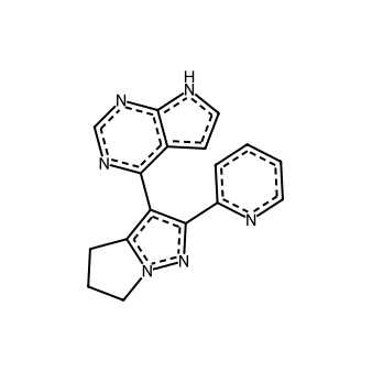 c1ccc(-c2nn3c(c2-c2ncnc4[nH]ccc24)CCC3)nc1